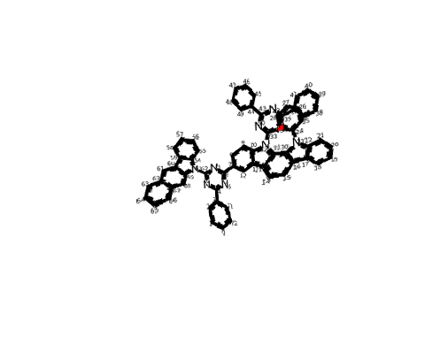 c1ccc(-c2nc(-c3ccc4c(c3)c3ccc5c6ccccc6n(-c6ccccc6)c5c3n4-c3nc(-c4ccccc4)nc(-c4ccccc4)n3)nc(-n3c4ccccc4c4cc5ccccc5cc43)n2)cc1